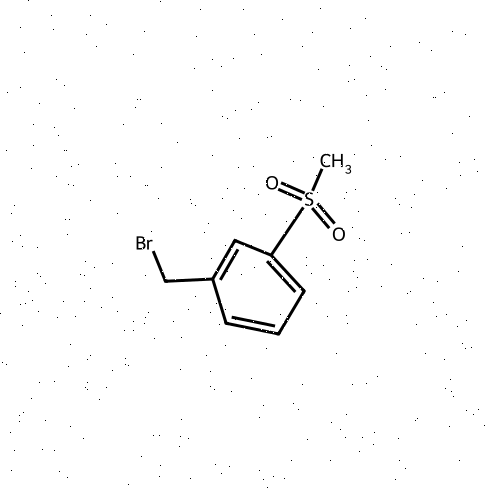 CS(=O)(=O)c1cccc(CBr)c1